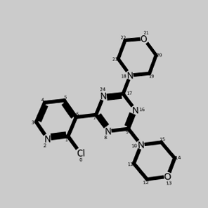 Clc1ncccc1-c1nc(N2CCOCC2)nc(N2CCOCC2)n1